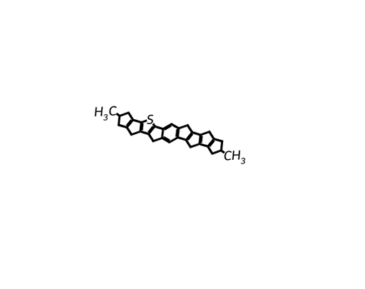 CC1CC2=C(C1)C1=C(C2)C2=C(C1)c1cc3c(cc1C2)-c1sc2c(c1C3)CC1=C2CC(C)C1